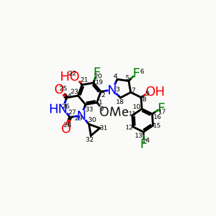 COc1c(N2CC(F)C(C(O)c3ccc(F)cc3F)C2)c(F)c(O)c2c(=O)[nH]c(=O)n(C3CC3)c12